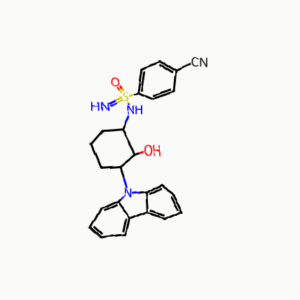 N#Cc1ccc(S(=N)(=O)NC2CCCC(n3c4ccccc4c4ccccc43)C2O)cc1